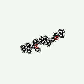 c1ccc2c(-c3c4ccccc4c(-c4cc(-c5cccc6cc(-c7ccc(-c8c9ccccc9c(-c9ccc%10oc%11c(-c%12cccc%13ccccc%12%13)cccc%11c%10c9)c9ccccc89)c8ccccc78)ccc56)c5oc6ccccc6c5c4)c4ccccc34)cccc2c1